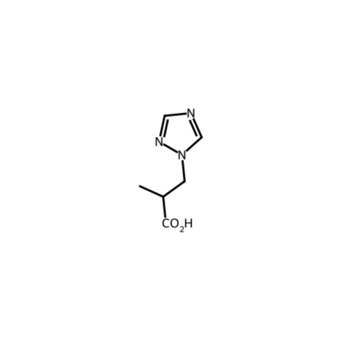 CC(Cn1cncn1)C(=O)O